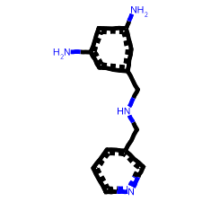 Nc1cc(N)cc(CNCc2cccnc2)c1